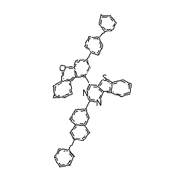 c1ccc(-c2ccc(-c3cc(-c4nc(-c5ccc6cc(-c7ccccc7)ccc6c5)nc5c4sc4ccccc45)c4c(c3)oc3ccccc34)cc2)cc1